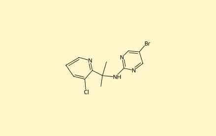 CC(C)(Nc1ncc(Br)cn1)c1ncccc1Cl